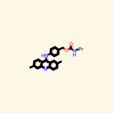 Cc1ccc2c(Nc3ccc(COC(=O)NC(C)C)cc3)c3cc(C)ccc3nc2c1